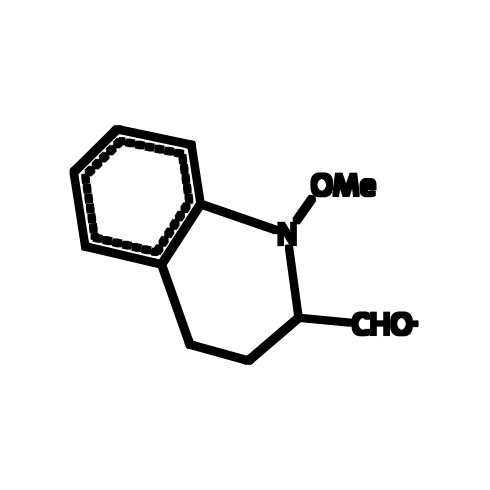 CON1c2ccccc2CCC1[C]=O